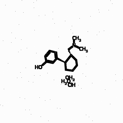 CN(C)C[C@@H]1CCCC[C@H]1c1cccc(O)c1.Cl.O.O